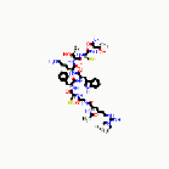 CCN(CC)C(=N)NCCCC[C@@H](NC(C)=O)C(=O)NCC(=O)N[C@@H](CS)C(=O)N[C@@H](Cc1ccccc1)C(=O)N[C@H](Cc1c[nH]c2ccccc12)C(=O)N[C@@H](CCCCN)C(=O)N[C@H](C(=O)N[C@@H](CS)C(=O)N[C@H](C(N)=O)[C@@H](C)O)[C@@H](C)O